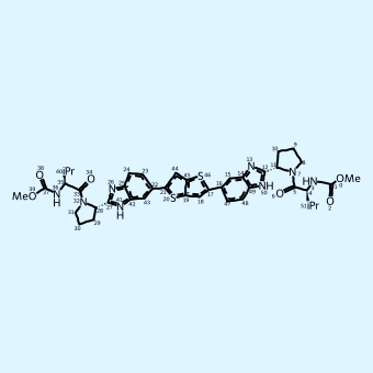 COC(=O)N[C@H](C(=O)N1CCC[C@H]1c1nc2cc(-c3cc4sc(-c5ccc6nc([C@@H]7CCCN7C(=O)[C@@H](NC(=O)OC)C(C)C)[nH]c6c5)cc4s3)ccc2[nH]1)C(C)C